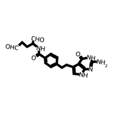 Nc1nc2[nH]cc(CCc3ccc(C(=O)NC(C=O)CCC=O)cc3)c2c(=O)[nH]1